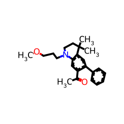 COCCCN1CCC(C)(C)c2cc(-c3ccccc3)c(C(C)=O)cc21